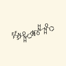 O=C(Cn1cc2cc(NC(=O)c3csc(C(F)(F)F)n3)ccc2n1)NCCNC(=O)c1ccccc1